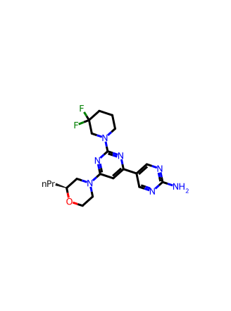 CCC[C@H]1CN(c2cc(-c3cnc(N)nc3)nc(N3CCCC(F)(F)C3)n2)CCO1